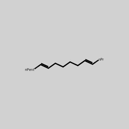 [CH2]CCC=CCCCCC=CCCCCC